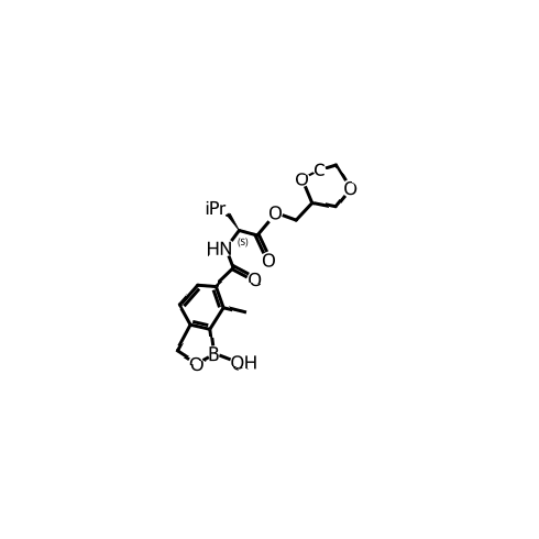 Cc1c(C(=O)N[C@H](C(=O)OCC2COCCO2)C(C)C)ccc2c1B(O)OC2